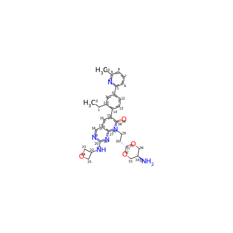 CCc1cc(-c2cccc(C)n2)ccc1-c1cc2cnc(NC3COC3)nc2n(CC[C@H]2OC[C@H](N)CO2)c1=O